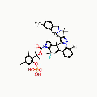 CCc1cccc2c1-n1nc3c(c1C1(C)C2=CC(C)(F)c2c1ccn2C(=O)OC(C)(C)c1c(C)cc(C)cc1OP(=O)(O)O)CN(Cc1ccc(C(F)(F)F)cc1C(F)(F)F)C3(C)C